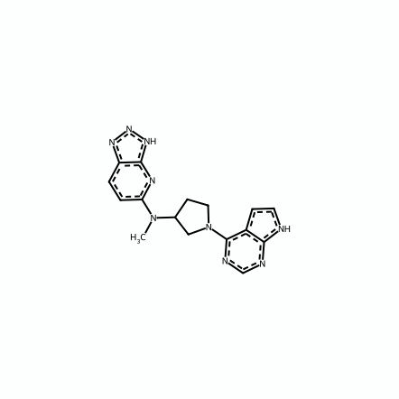 CN(c1ccc2nn[nH]c2n1)C1CCN(c2ncnc3[nH]ccc23)C1